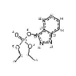 CCOP(=O)(OCC)On1nnc2cccnc21